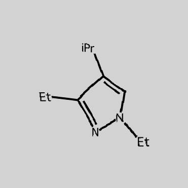 CCc1nn(CC)cc1C(C)C